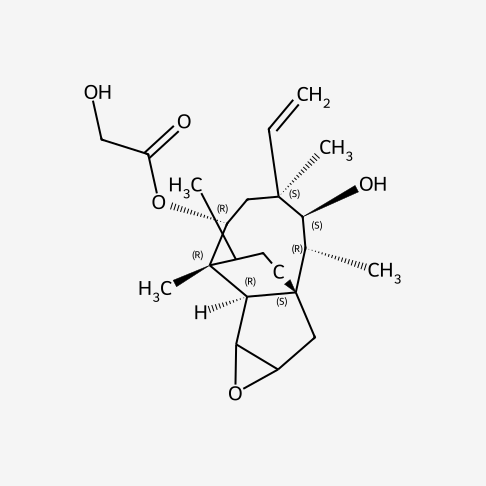 C=C[C@]1(C)C[C@@H](OC(=O)CO)[C@]2(C)C(C)CC[C@]3(CC4OC4[C@H]32)[C@@H](C)[C@@H]1O